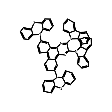 c1ccc2c(c1)Sc1ccccc1N2c1ccc2c3ccc(N4c5ccccc5Sc5ccccc54)cc3c3nc(-n4c5ccccc5c5ccccc54)c(-n4c5ccccc5c5ccccc54)nc3c2c1